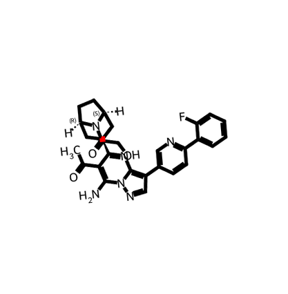 CC(=O)c1c([C@H]2C[C@H]3CC[C@@H](C2)N3C(=O)CO)nc2c(-c3ccc(-c4ccccc4F)nc3)cnn2c1N